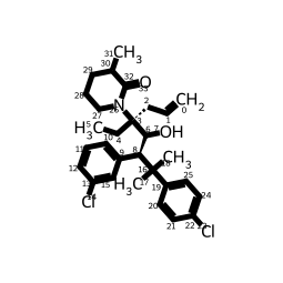 C=CC[C@@](CC)(C(O)[C@H](c1cccc(Cl)c1)C(C)(C)c1ccc(Cl)cc1)N1CCCC(C)C1=O